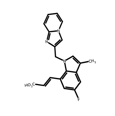 Cc1cn(Cc2cn3ccccc3n2)c2c(C=CC(=O)O)cc(F)cc12